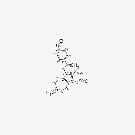 C=C(Cn1c2c(c3cc(Cl)ccc31)CCN(C)CC2)c1ccc(OC)cc1